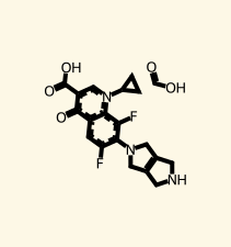 O=C(O)c1cn(C2CC2)c2c(F)c(N3CC4=C(CNC4)C3)c(F)cc2c1=O.O=CO